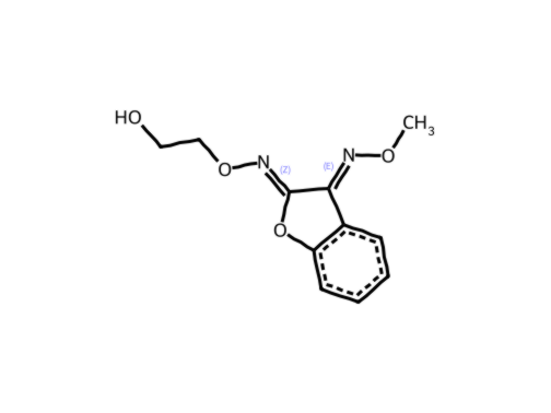 CO/N=C1/C(=N/OCCO)Oc2ccccc21